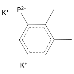 Cc1cccc([P-2])c1C.[K+].[K+]